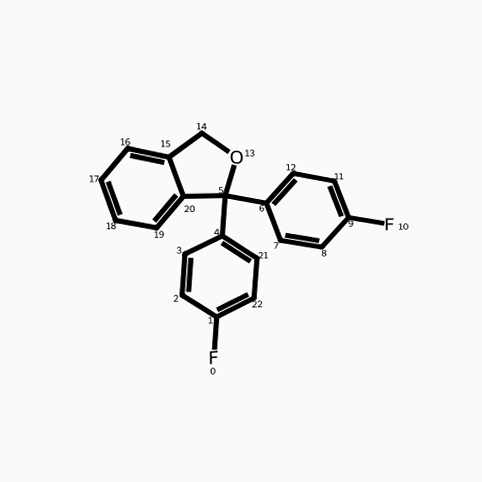 Fc1ccc(C2(c3ccc(F)cc3)OCc3ccccc32)cc1